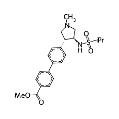 COC(=O)c1ccc(-c2ccc([C@@H]3CN(C)C[C@H]3NS(=O)(=O)C(C)C)cc2)cc1